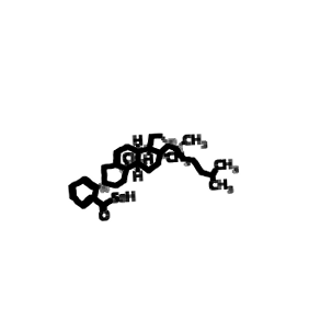 CC(C)CCC[C@@H](C)[C@H]1CC[C@H]2[C@@H]3CC=C4C[C@@H](c5ccccc5C(=O)[SeH])CC[C@]4(C)[C@H]3CC[C@]12C